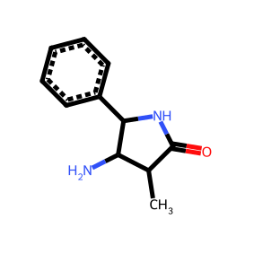 CC1C(=O)NC(c2ccccc2)C1N